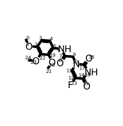 COc1ccc(NC(=O)Cn2cc(F)c(=O)[nH]c2=O)c(OC)c1OC